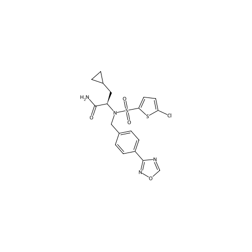 NC(=O)[C@@H](CC1CC1)N(Cc1ccc(-c2ncon2)cc1)S(=O)(=O)c1ccc(Cl)s1